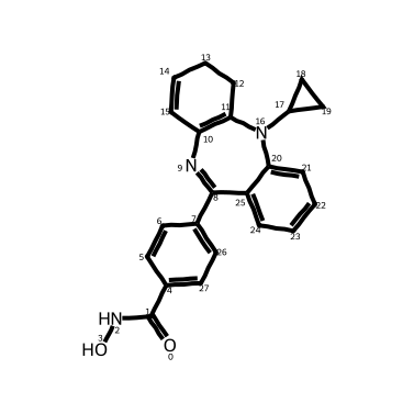 O=C(NO)c1ccc(C2=NC3=C(CCC=C3)N(C3CC3)c3ccccc32)cc1